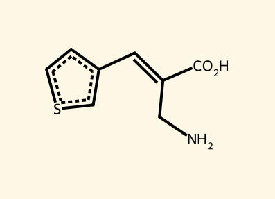 NC/C(=C\c1ccsc1)C(=O)O